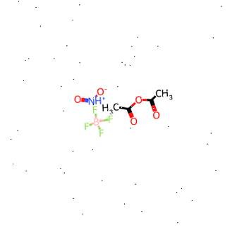 CC(=O)OC(C)=O.F[B-](F)(F)F.O=[NH+][O-]